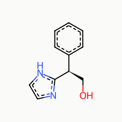 OC[C@H](c1ccccc1)c1ncc[nH]1